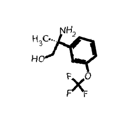 C[C@@](N)(CO)c1cccc(OC(F)(F)F)c1